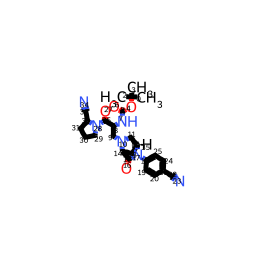 CC(C)(C)OC(=O)NC(CN1C[C@@H]2CC1C(=O)N2c1ccc(C#N)cc1)C(=O)N1CCCC1C#N